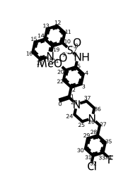 C=C(c1ccc(NS(=O)(=O)c2cccc3cccnc23)c(OC)c1)N1CCN(Cc2ccc(Cl)c(F)c2)CC1